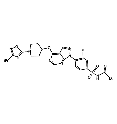 CCC(=O)NS(=O)(=O)c1ccc(-n2ncc3c(OC4CCN(c5nc(C(C)C)no5)CC4)ncnc32)c(F)c1